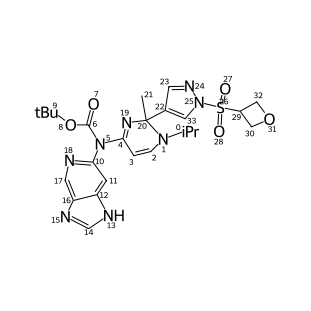 CC(C)N1C=CC(N(C(=O)OC(C)(C)C)c2cc3[nH]cnc3cn2)=NC1(C)c1cnn(S(=O)(=O)C2COC2)c1